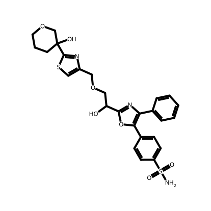 NS(=O)(=O)c1ccc(-c2oc(C(O)COCc3csc(C4(O)CCCOC4)n3)nc2-c2ccccc2)cc1